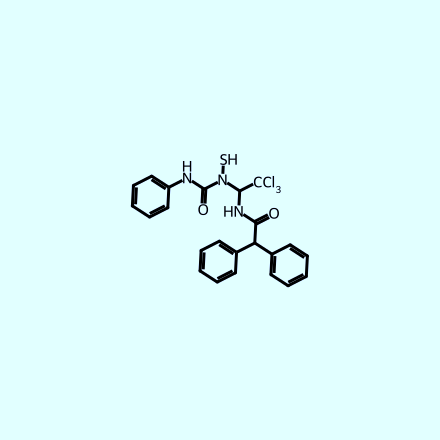 O=C(NC(N(S)C(=O)Nc1ccccc1)C(Cl)(Cl)Cl)C(c1ccccc1)c1ccccc1